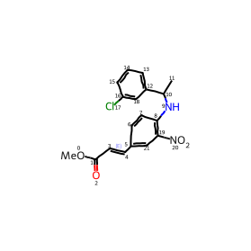 COC(=O)/C=C/c1ccc(NC(C)c2cccc(Cl)c2)c([N+](=O)[O-])c1